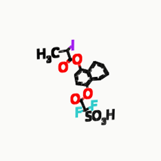 CC(I)C(=O)Oc1ccc(OC(=O)C(F)(F)S(=O)(=O)O)c2ccccc12